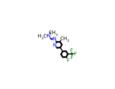 Cc1cc(-c2ccc(F)c(C(F)(F)F)c2)cnc1/N=C/N(C)C